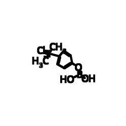 C[Si](C)(Cl)c1ccc(OB(O)O)cc1